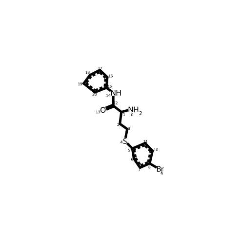 NC(CCSc1ccc(Br)cc1)C(=O)Nc1ccccc1